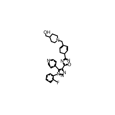 OCC1CCN(CC2=CCC(c3noc(-c4nnn(-c5ccccc5F)c4-c4ccncc4)n3)C=C2)CC1